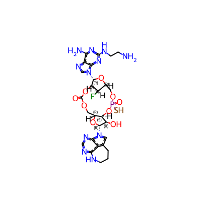 NCCNc1nc(N)c2ncn([C@@H]3O[C@@H]4COP(=O)(S)O[C@H]5[C@@H](O)[C@H](n6cc7c8c(ncnc86)NCCC7)O[C@@H]5COC(=O)O[C@@H]3[C@@H]4F)c2n1